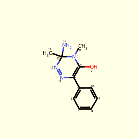 CN1C(O)=C(c2ccccc2)N=NC1(C)N